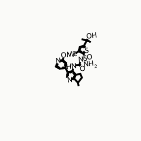 COc1cc(-c2cnc3c(c2NC(=O)N=S(N)(=O)c2sc(C(C)(C)O)cc2F)CCC3C)ccn1